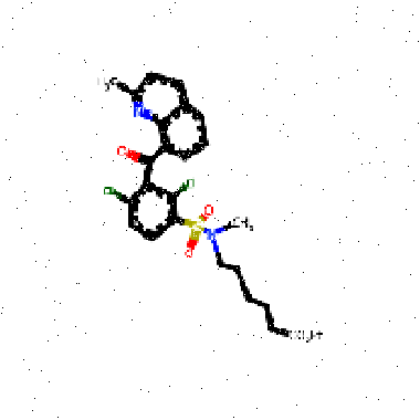 CCOC(=O)CCCCCN(C)S(=O)(=O)c1ccc(Cl)c(C(=O)c2cccc3ccc(C)nc23)c1Cl